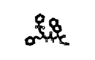 C[C@@H](C(=O)N[C@H](C=CS(=O)(=O)c1ccccc1)CCc1ccccc1)N(C(=O)OC(C)(C)C)c1ccc2ccccc2c1